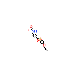 CC#CCOc1ccc(S(=O)(=O)C=Cc2ccc(CNC(=O)COC)cc2)cc1